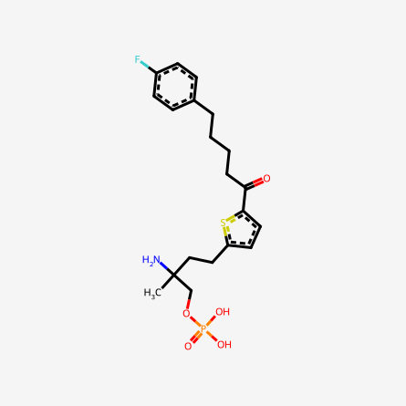 CC(N)(CCc1ccc(C(=O)CCCCc2ccc(F)cc2)s1)COP(=O)(O)O